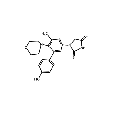 Cc1cc(N2CC(=O)NC2=S)cc(-c2ccc(O)cc2)c1N1CCOCC1